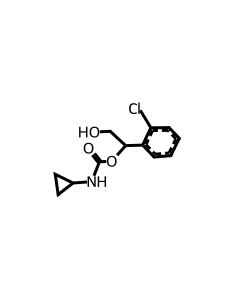 O=C(NC1CC1)OC(CO)c1ccccc1Cl